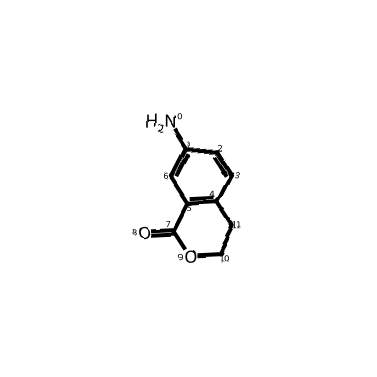 Nc1ccc2c(c1)C(=O)OCC2